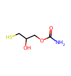 NC(=O)OCC(O)CS